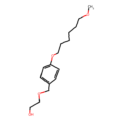 COCCCCCCOc1ccc(COCCO)cc1